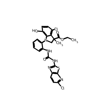 CCOC(=O)C1(C)CN(c2ccccc2NC(=O)Nc2nc3ccc(Cl)nc3s2)c2c(O)ccc(Cl)c21